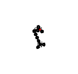 c1cccc(-c2nc3ccccc3c3c2ccc2c3oc3cccc(-c4ccc(-c5ccc(-c6ccc(-c7nc(-c8ccccc8)nc(-c8ccccc8)n7)cc6)cc5)cc4)c32)c#1